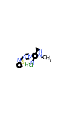 CCNc1cc(C#N)c(N2CCN(Cc3nc4ccccc4s3)CC2)cc1C1CC1.Cl